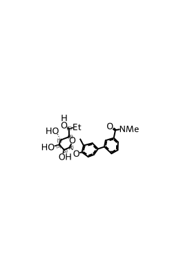 CC[C@H](O)[C@H]1O[C@H](Oc2ccc(-c3cccc(C(=O)NC)c3)cc2C)[C@@H](O)[C@@H](O)[C@@H]1O